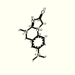 CN1Cc2cc(N(C)C)ccc2N2CC(=O)N=C12